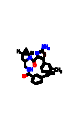 C#Cc1cccc(C(=O)NC[C@@H]2C[C@@H]3C[C@@H]3N2C(=O)c2nc(N)sc2-c2cccc(C)c2)c1